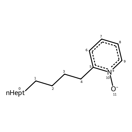 CCCCCCCCCCCc1cccc[n+]1[O-]